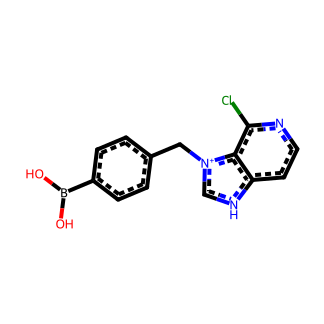 OB(O)c1ccc(C[n+]2c[nH]c3ccnc(Cl)c32)cc1